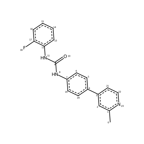 Cc1cc(-c2ccc(NC(=O)Nc3ccccc3F)cc2)ccn1